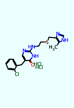 Cc1[nH]cnc1CSCCNc1ncc(Cc2ccccc2Cl)c(=O)[nH]1.Cl.Cl